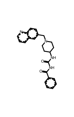 O=C(NC(=O)c1ccccc1)NC1CCN(Cc2ccc3ncccc3c2)CC1